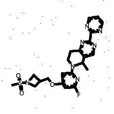 CC1c2cnc(-c3ncccn3)nc2CCN1c1cc(OCC2CN(S(C)(=O)=O)C2)cc(F)n1